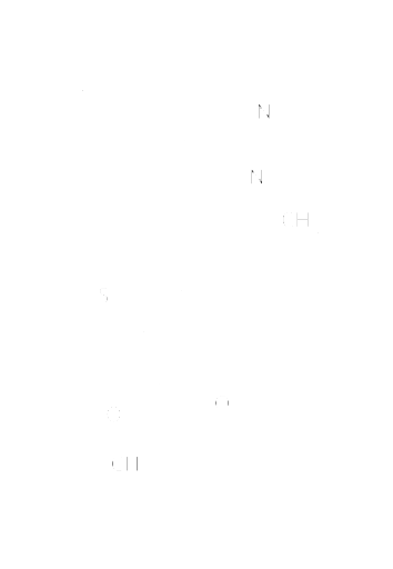 COC(=O)c1cc(-c2c(C3CC3)cnn2C)cs1